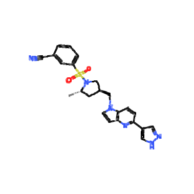 C[C@H]1C[C@H](Cn2ccc3nc(-c4cn[nH]c4)ccc32)CN1S(=O)(=O)c1cccc(C#N)c1